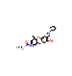 CCOC(=O)C(=O)Nc1cc(C)c(Oc2ccc(O)c(CNC3CCCC3)c2)c(C)c1